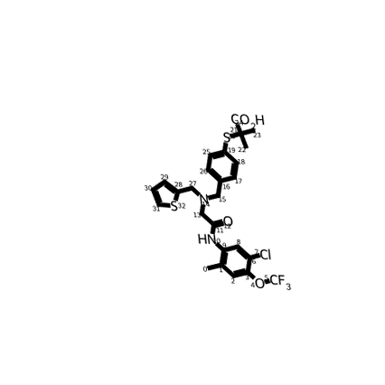 Cc1cc(OC(F)(F)F)c(Cl)cc1NC(=O)CN(Cc1ccc(SC(C)(C)C(=O)O)cc1)Cc1cccs1